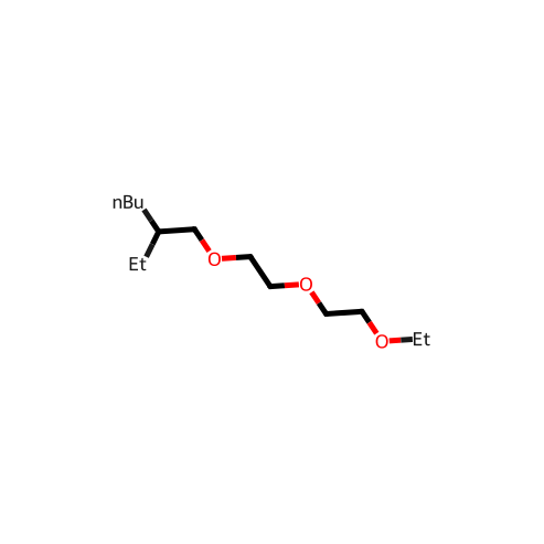 CCCCC(CC)COCCOCCOCC